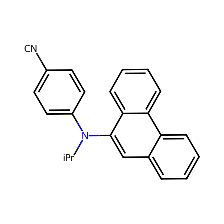 [C-]#[N+]c1ccc(N(c2cc3ccccc3c3ccccc23)C(C)C)cc1